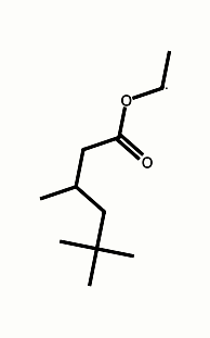 C[CH]OC(=O)CC(C)CC(C)(C)C